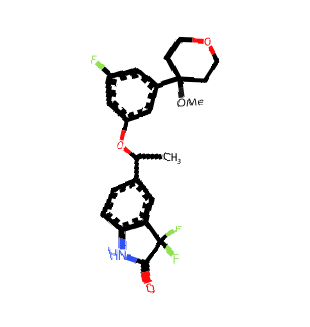 COC1(c2cc(F)cc(OC(C)c3ccc4c(c3)C(F)(F)C(=O)N4)c2)CCOCC1